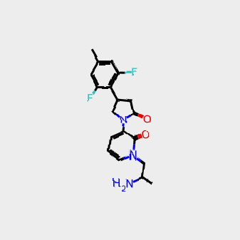 Cc1cc(F)c(C2CC(=O)N(c3cccn(CC(C)N)c3=O)C2)c(F)c1